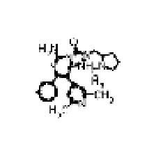 Cc1cc(-c2c(-c3ccccc3)nc(N)[n+]3c(=O)n(CC4CCCN4C)[nH]c23)cc(C)n1